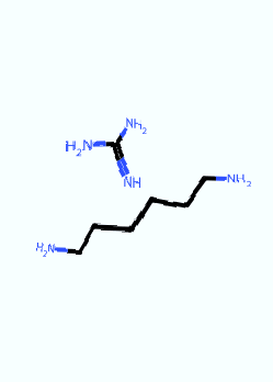 N=C(N)N.NCCCCCCN